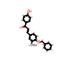 COc1cc(C=CC(=O)c2ccc(O)cc2)ccc1OCc1ccccc1